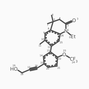 CCN1C(=O)CC(C)(C)c2cc(C)c(-c3cc(C#CCO)ccc3OC(F)(F)F)cc21